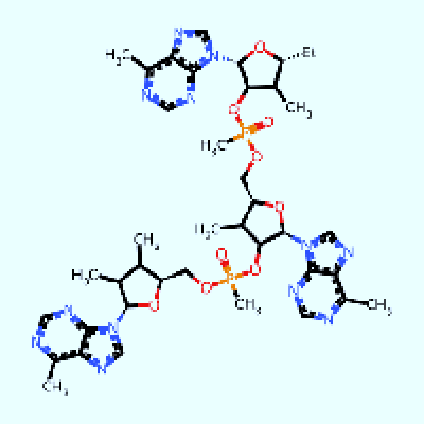 CC[C@H]1O[C@@H](n2cnc3c(C)ncnc32)C(OP(C)(=O)OC[C@H]2O[C@@H](n3cnc4c(C)ncnc43)C(OP(C)(=O)OC[C@H]3O[C@@H](n4cnc5c(C)ncnc54)C(C)C3C)C2C)C1C